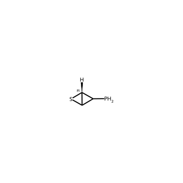 PC1C2S[C@H]12